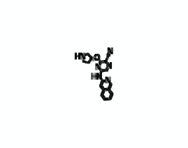 N#Cc1ncc(Nc2cc3ccccc3cn2)nc1O[C@@H]1CCNC1